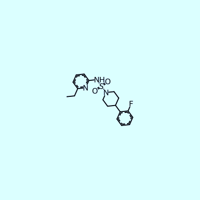 CCc1cccc(NS(=O)(=O)N2CCC(c3ccccc3F)CC2)n1